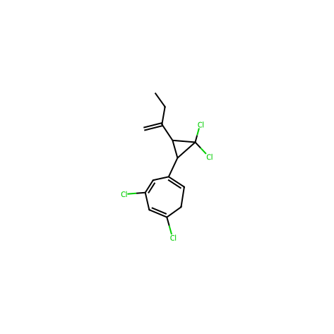 C=C(CC)C1C(C2=CCC(Cl)=CC(Cl)=C2)C1(Cl)Cl